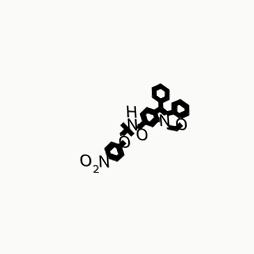 CC(C)(COc1ccc([N+](=O)[O-])cc1)NC(=O)c1ccc2c(C3CCCCC3)c3n(c2c1)CCOc1ccccc1-3